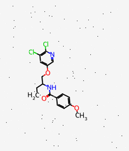 [CH2]CC(COc1cnc(Cl)c(Cl)c1)NC(=O)c1ccc(OC)cc1